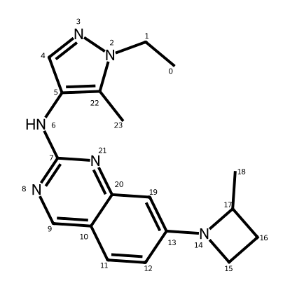 CCn1ncc(Nc2ncc3ccc(N4CCC4C)cc3n2)c1C